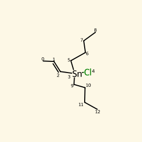 CC=[CH][Sn]([Cl])([CH2]CCC)[CH2]CCC